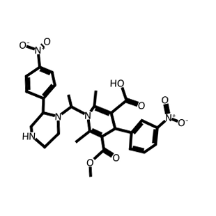 COC(=O)C1=C(C)N(C(C)N2CCNCC2c2ccc([N+](=O)[O-])cc2)C(C)=C(C(=O)O)C1c1cccc([N+](=O)[O-])c1